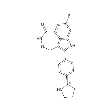 O=C1NOCc2c(-c3ccc([C@H]4CCCN4)cc3)[nH]c3cc(F)cc1c23